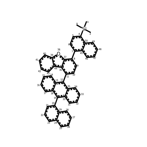 C[Si](C)(C)c1ccc(-c2ccc(-c3c4ccccc4c(-c4cccc5ccccc45)c4ccccc34)c3c2oc2ccccc23)c2ccccc12